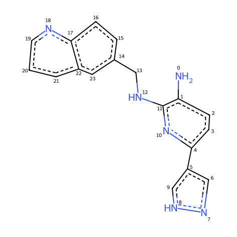 Nc1ccc(-c2cn[nH]c2)nc1NCc1ccc2ncccc2c1